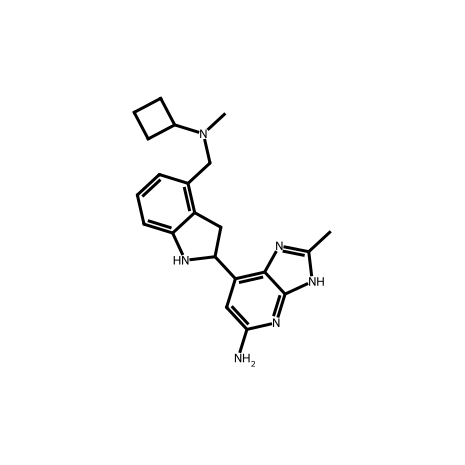 Cc1nc2c(C3Cc4c(CN(C)C5CCC5)cccc4N3)cc(N)nc2[nH]1